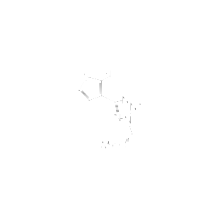 [2H]c1sccc1-c1nnn(COC)n1